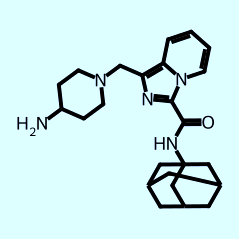 NC1CCN(Cc2nc(C(=O)NC34CC5CC(CC(C5)C3)C4)n3ccccc23)CC1